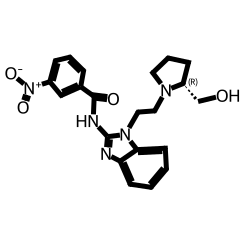 O=C(Nc1nc2ccccc2n1CCN1CCC[C@@H]1CO)c1cccc([N+](=O)[O-])c1